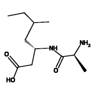 CCC(C)C[C@@H](CC(=O)O)NC(=O)[C@H](C)N